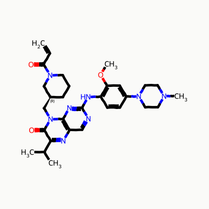 C=CC(=O)N1CCC[C@@H](Cn2c(=O)c(C(C)C)nc3cnc(Nc4ccc(N5CCN(C)CC5)cc4OC)nc32)C1